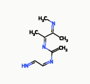 C=C(/N=C\C=N)/N=C(C)\C(C)=N/C